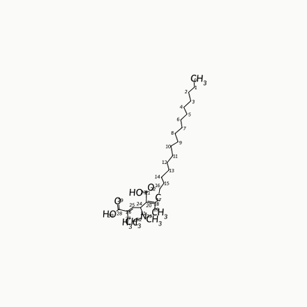 CCCCCCCCCCCCCCCCCCC(C)=C(C(=O)O)C(C=C(C)C(=O)O)N(C)C